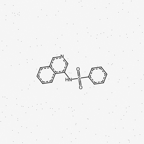 O=S(=O)(Nc1cncc2ccccc12)c1ccccc1